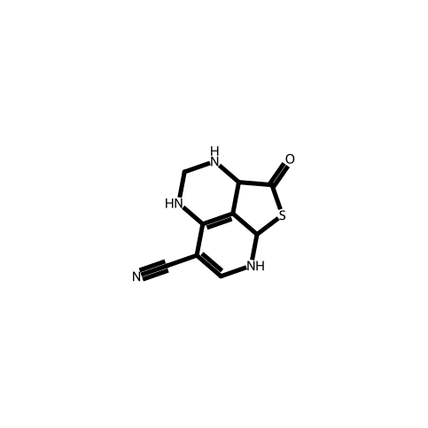 N#CC1=CNC2SC(=O)C3NCNC1=C23